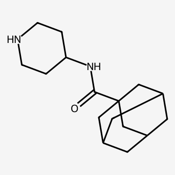 O=C(NC1CCNCC1)C12CC3CC(CC(C3)C1)C2